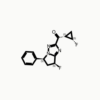 O=C(c1nc2n(n1)[C@H](c1ccccc1)C[C@@H]2F)[C@@H]1C[C@@H]1F